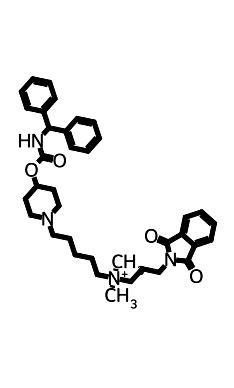 C[N+](C)(CCCCCN1CCC(OC(=O)NC(c2ccccc2)c2ccccc2)CC1)CCCN1C(=O)c2ccccc2C1=O